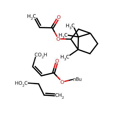 C=CC(=O)OC1CC2CCC1(C)C2(C)C.C=CCC(=O)O.CCCCOC(=O)/C=C\C(=O)O